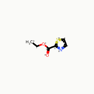 CCOC(=O)c1n[c]cs1